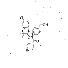 O=C(Nc1ccc(CO)cc1N(C(=O)C(F)(F)F)c1ccc(Cl)cn1)C1CCNCC1